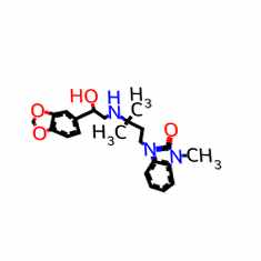 Cn1c(=O)n(CCC(C)(C)NCC(O)c2ccc3c(c2)OCO3)c2ccccc21